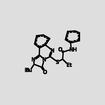 CCC(SC1=Nc2ccccc2C2=NC(C(C)CC)C(=O)N12)C(=O)Nc1ccccc1